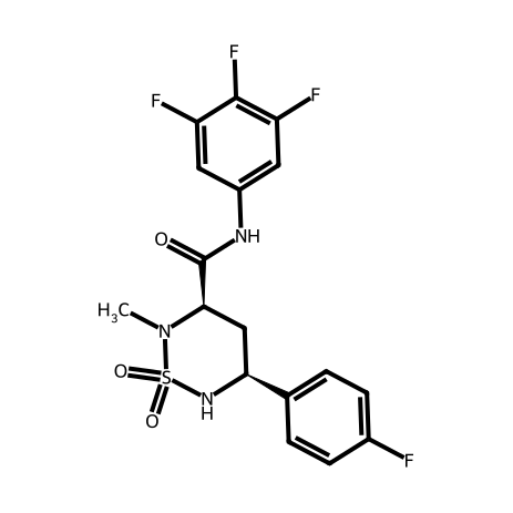 CN1[C@@H](C(=O)Nc2cc(F)c(F)c(F)c2)C[C@@H](c2ccc(F)cc2)NS1(=O)=O